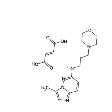 Cc1cnc2ccc(NCCCN3CCOCC3)nn12.O=C(O)/C=C/C(=O)O